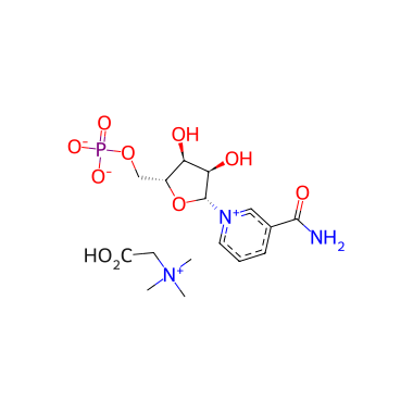 C[N+](C)(C)CC(=O)O.NC(=O)c1ccc[n+]([C@@H]2O[C@H](COP(=O)([O-])[O-])[C@@H](O)[C@H]2O)c1